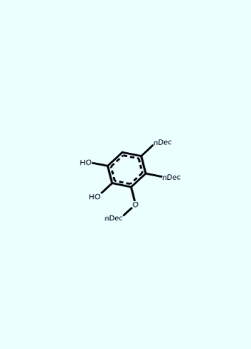 CCCCCCCCCCOc1c(O)c(O)cc(CCCCCCCCCC)c1CCCCCCCCCC